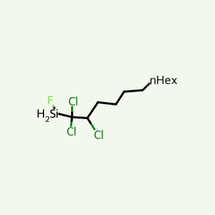 CCCCCCCCCCC(Cl)C(Cl)(Cl)[SiH2]F